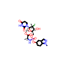 CC(C)OC(=O)[C@H](C)NP(=O)(OC[C@H]1O[C@@H](n2ccc(=O)[nH]c2=O)[C@](C)(F)[C@@H]1O)Oc1ccc2c(cnn2C)c1